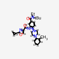 CCN(C(=O)c1ccc(N2CCN(c3ccccc3C)CC2)c(NC(=O)c2coc(C3CC3)n2)c1)C(C)(C)C